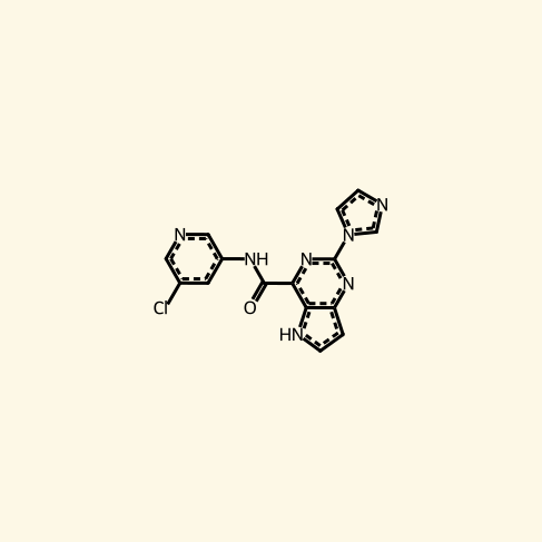 O=C(Nc1cncc(Cl)c1)c1nc(-n2ccnc2)nc2cc[nH]c12